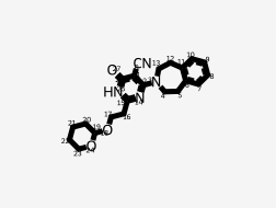 N#Cc1c(N2CCc3ccccc3CC2)nc(CCOC2CCCCO2)[nH]c1=O